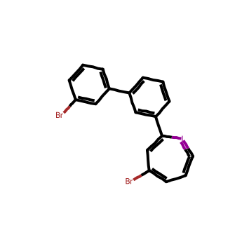 BrC1=CC=C=IC(c2cccc(-c3cccc(Br)c3)c2)=C1